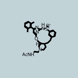 CC(=O)NCCN1CCC2CCc3cccc(c3)[S+]([O-])Nc3nc(cc(-c4c(C)cccc4C)n3)OC[C@H]2C1